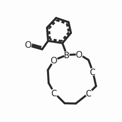 O=Cc1ccccc1B1OCCCCCCCCCO1